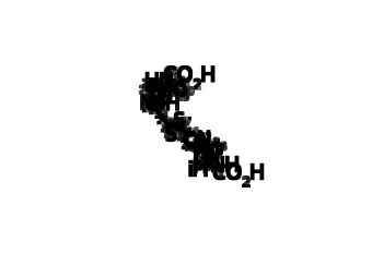 CC(C)[C@@H](NC(=O)O)C(=O)N1CCCC1c1nc2cc(-c3csc4c(C#Cc5cnc(C6CCCN6C(=O)[C@H](NC(=O)O)c6ccccc6)[nH]5)csc34)ccc2[nH]1